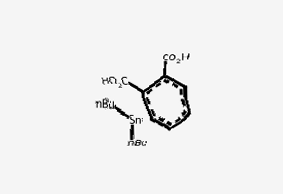 CCC[CH2][Sn][CH2]CCC.O=C(O)c1ccccc1C(=O)O